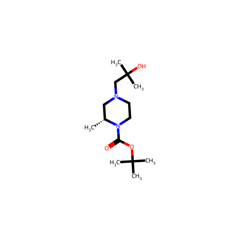 C[C@@H]1CN(CC(C)(C)O)CCN1C(=O)OC(C)(C)C